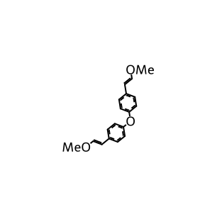 COC=Cc1ccc(Oc2ccc(C=COC)cc2)cc1